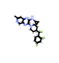 Cc1cc2nc(NC3CC3)c(N3CCC(C(F)c4ccc(F)cc4F)CC3)nc2cn1